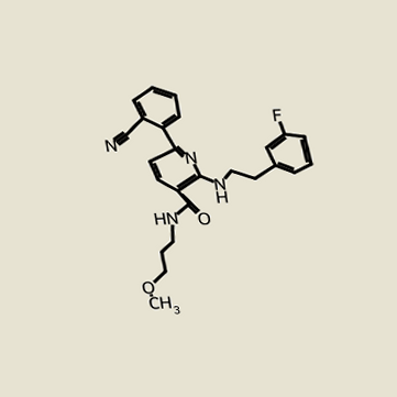 COCCCNC(=O)c1ccc(-c2ccccc2C#N)nc1NCCc1cccc(F)c1